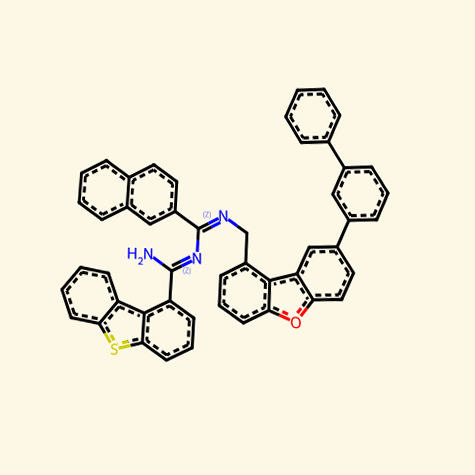 N/C(=N\C(=N/Cc1cccc2oc3ccc(-c4cccc(-c5ccccc5)c4)cc3c12)c1ccc2ccccc2c1)c1cccc2sc3ccccc3c12